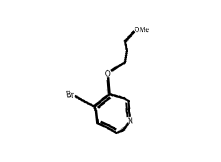 COCCOc1cnccc1Br